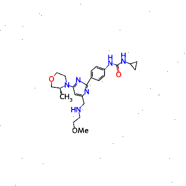 COCCNCc1cc(N2CCOC[C@@H]2C)nc(-c2ccc(NC(=O)NC3CC3)cc2)n1